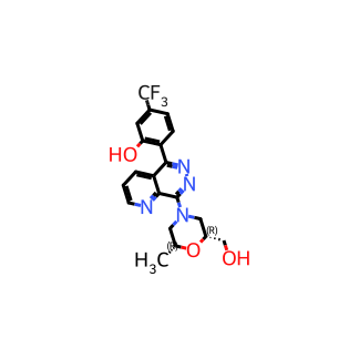 C[C@@H]1CN(c2nnc(-c3ccc(C(F)(F)F)cc3O)c3cccnc23)C[C@H](CO)O1